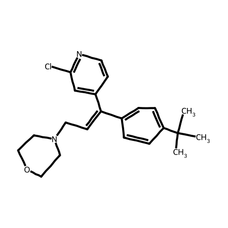 CC(C)(C)c1ccc(/C(=C/CN2CCOCC2)c2ccnc(Cl)c2)cc1